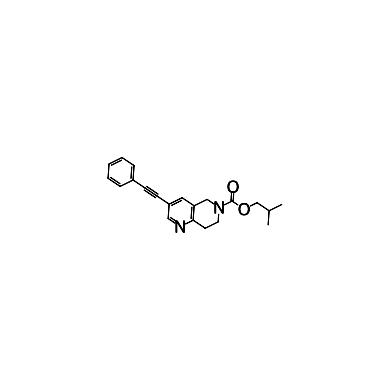 CC(C)COC(=O)N1CCc2ncc(C#Cc3ccccc3)cc2C1